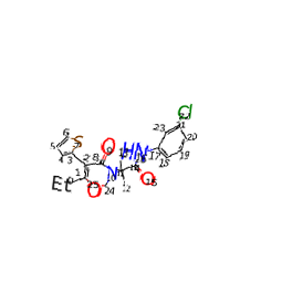 CCC1=C(c2cccs2)C(=O)N(C(C)(C)C(=O)Nc2cccc(Cl)c2)CO1